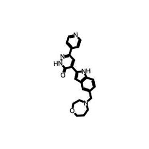 O=c1[nH]nc(-c2ccncc2)cc1-c1cc2cc(CN3CCCOCC3)ccc2[nH]1